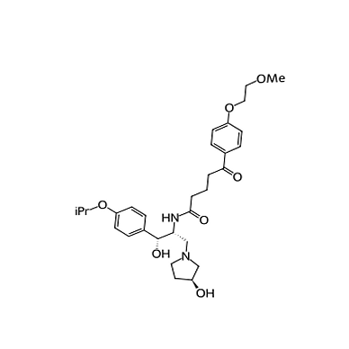 COCCOc1ccc(C(=O)CCCC(=O)N[C@H](CN2CC[C@H](O)C2)[C@H](O)c2ccc(OC(C)C)cc2)cc1